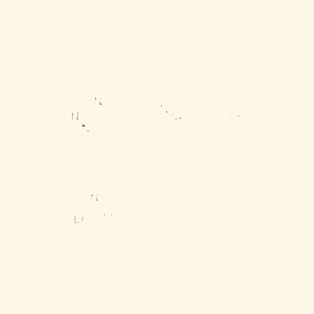 CCC(=O)N1CC=C(c2cc3c(-c4ccc(NSc5ccc(Cl)cc5)cc4)ncnn3c2)CC1